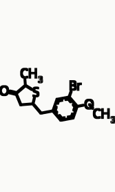 COc1ccc(CC2CC(=O)C(C)S2)cc1Br